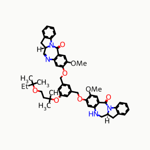 CCC(C)(C)OCCC(C)(C)Oc1cc(COc2cc3c(cc2OC)C(=O)N2c4ccccc4C[C@H]2C=N3)cc(COc2cc3c(cc2OC)C(=O)N2c4ccccc4C[C@H]2CN3)c1